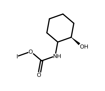 O=C(NC1CCCC[C@H]1O)OI